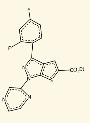 CCOC(=O)c1cc2c(-c3ccc(F)cc3F)nn(-c3cnccn3)c2s1